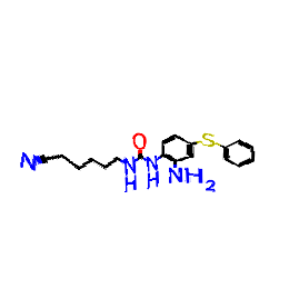 N#CCCCCCNC(=O)Nc1ccc(Sc2ccccc2)cc1N